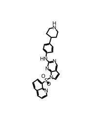 O=S(=O)(c1cccc2cccnc12)n1ccc2cnc(Nc3ccc(C4CCNCC4)cc3)nc21